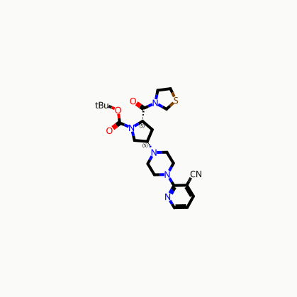 CC(C)(C)OC(=O)N1C[C@@H](N2CCN(c3ncccc3C#N)CC2)C[C@H]1C(=O)N1CCSC1